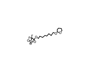 O=C(OCCCCCCCCOC1CCCCO1)C(F)(F)S(=O)(=O)F